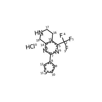 Cl.FC(F)(F)c1nc(-c2ccsc2)nc2c1CCNC2